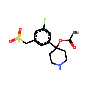 CC(C)(C)C(=O)OC1(c2cc(F)cc(C[SH](=O)=O)c2)CCNCC1